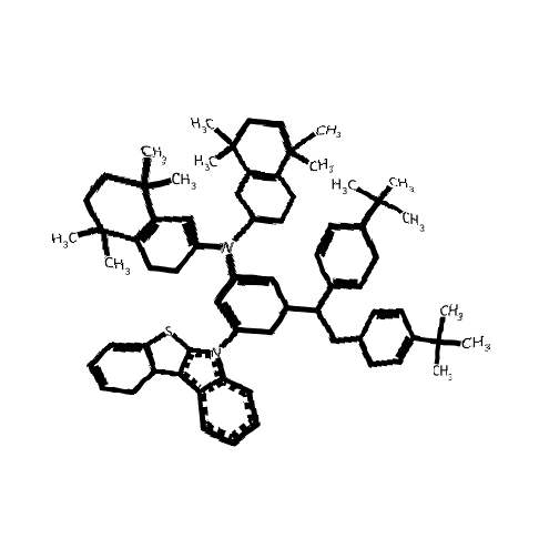 CC(C)(C)C1=CCC(CC(C2=CCC(C(C)(C)C)C=C2)C2C=C(N(C3=CC4=C(CC3)C(C)(C)CCC4(C)C)C3CCC4=C(C3)C(C)(C)CCC4(C)C)C=C(n3c4c(c5ccccc53)C3CC=CC=C3S4)C2)C=C1